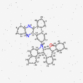 c1ccc(-c2nc3ccccc3nc2-c2cccc(-n3c4ccc5ccccc5c4c4c5ccccc5c5c6ccccc6oc5c43)c2)cc1